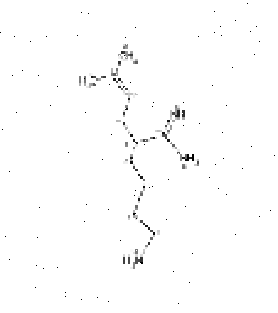 CC(C)=CCN(CCCCN)C(=N)N